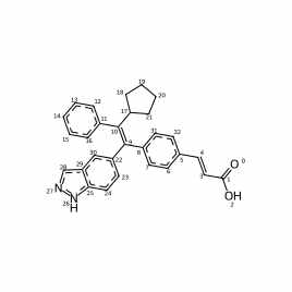 O=C(O)C=Cc1ccc(C(=C(c2ccccc2)C2CCCC2)c2ccc3[nH]ncc3c2)cc1